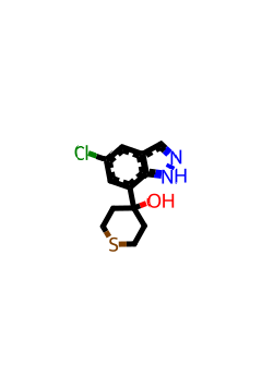 OC1(c2cc(Cl)cc3cn[nH]c23)CCSCC1